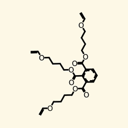 C=COCCCCOC(=O)c1cccc(C(=O)OCCCCOC=C)c1C(=O)OCCCCOC=C